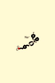 O=C([O-])CCCc1ccc(CCN2CCCN(c3nc4ccccc4n3Cc3ccc(F)cc3)CCC2)cc1.[Na+]